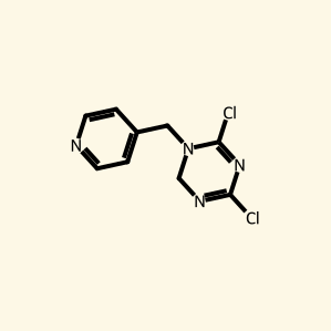 ClC1=NCN(Cc2ccncc2)C(Cl)=N1